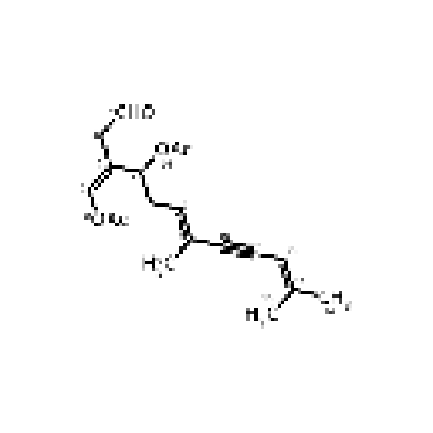 CC(=O)O/C=C(/CC=O)[C@H](C/C=C(\C)C#CC=C(C)C)OC(C)=O